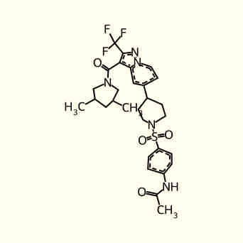 CC(=O)Nc1ccc(S(=O)(=O)N2CCC(c3ccn4nc(C(F)(F)F)c(C(=O)N5CC(C)CC(C)C5)c4c3)CC2)cc1